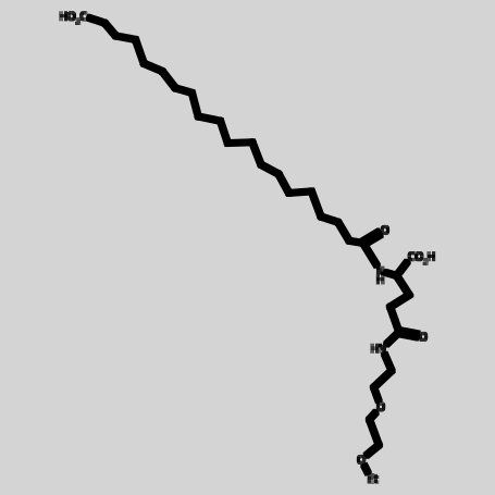 CCOCCOCCNC(=O)CCC(NC(=O)CCCCCCCCCCCCCCCCCCC(=O)O)C(=O)O